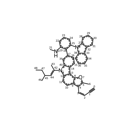 C#C/C=C\c1c(C)oc2c1ccc1c2c2ccc(-c3c(NC)cccc3-n3c4ccccc4c4ccccc43)cc2n1/C(C)=C/C(C)CC